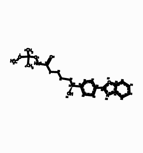 COC(C)(C)ONC(=O)CCCC[C@@H](O)c1ccc(-c2nc3ccccc3o2)cc1